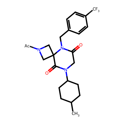 CC(=O)N1CC2(C1)C(=O)N(C1CCC(C)CC1)CC(=O)N2Cc1ccc(C(F)(F)F)cc1